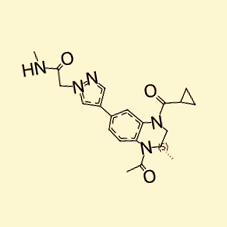 CNC(=O)Cn1cc(-c2ccc3c(c2)N(C(=O)C2CC2)C[C@H](C)N3C(C)=O)cn1